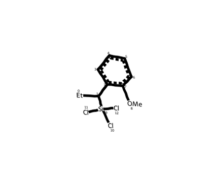 CCC(c1ccccc1OC)[Si](Cl)(Cl)Cl